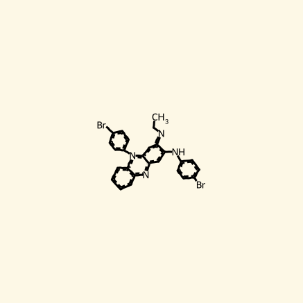 CCN=c1cc2n(-c3ccc(Br)cc3)c3ccccc3nc-2cc1Nc1ccc(Br)cc1